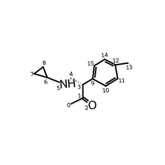 CC(=O)[C@H](CNC1CC1)c1ccc(C)cc1